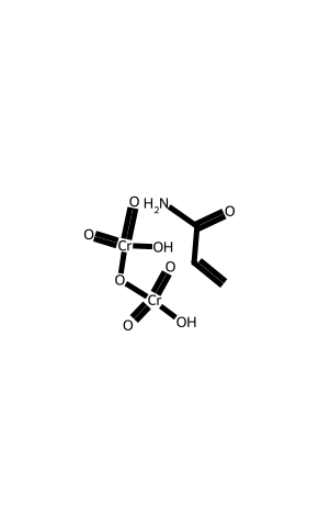 C=CC(N)=O.[O]=[Cr](=[O])([OH])[O][Cr](=[O])(=[O])[OH]